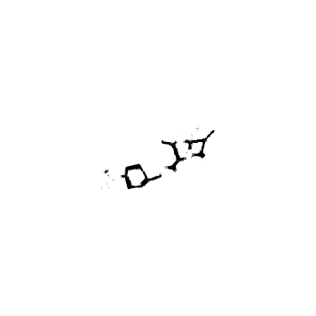 CC1=C(C(=O)OCc2ccc([N+](=O)[O-])cc2)N2C(=O)C(C)[C@@H]2S1